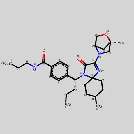 CC(C)(C)CC[C@H](c1ccc(C(=O)NCCC(=O)O)cc1)N1C(=O)C(N2C[C@H]3CC2CO3)=NC12CCC(C(C)(C)C)CC2